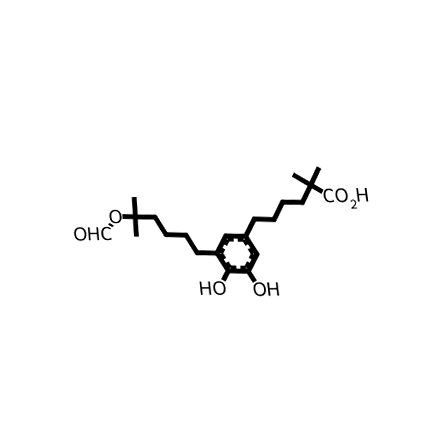 CC(C)(CCCCc1cc(CCCCC(C)(C)C(=O)O)cc(O)c1O)OC=O